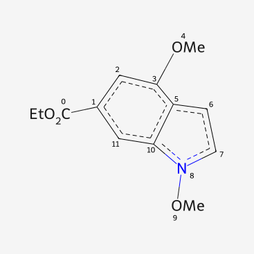 CCOC(=O)c1cc(OC)c2ccn(OC)c2c1